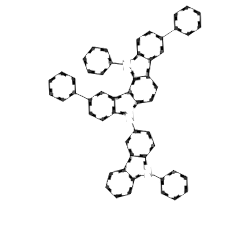 c1ccc(-c2ccc3c(c2)c2c(ccc4c5cc(-c6ccccc6)ccc5n(-c5ccccc5)c42)n3-c2ccc3c(c2)c2ccccc2n3-c2ccccc2)cc1